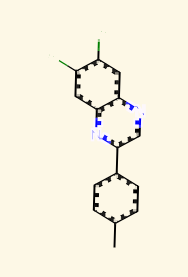 Cc1ccc(-c2cnc3cc(Br)c(Br)cc3n2)cc1